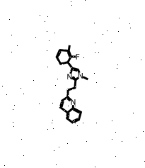 CC1=C(F)C(c2cn(C)c(CCc3ccc4ccccc4n3)n2)CC=C1